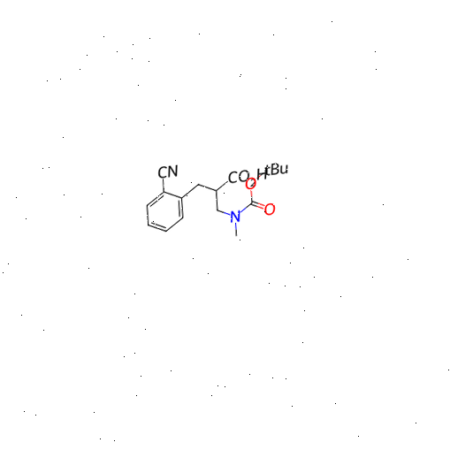 CN(CC(Cc1ccccc1C#N)C(=O)O)C(=O)OC(C)(C)C